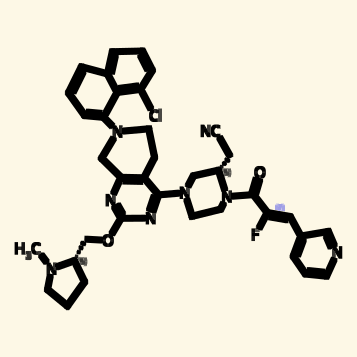 CN1CCC[C@H]1COc1nc2c(c(N3CCN(C(=O)/C(F)=C/c4cccnc4)[C@@H](CC#N)C3)n1)CCN(c1cccc3cccc(Cl)c13)C2